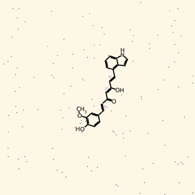 COc1cc(/C=C/C(=O)/C=C(O)/C=C/c2cccc3[nH]ccc23)ccc1O